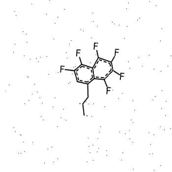 [CH2][CH]Cc1cc(F)c(F)c2c(F)c(F)c(F)c(F)c12